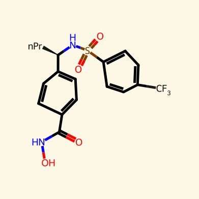 CCC[C@@H](NS(=O)(=O)c1ccc(C(F)(F)F)cc1)c1ccc(C(=O)NO)cc1